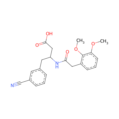 COc1cccc(CC(=O)NC(CC(=O)O)Cc2cccc(C#N)c2)c1OC